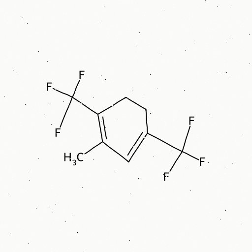 CC1=C(C(F)(F)F)CCC(C(F)(F)F)=C1